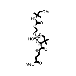 COC(=O)CCNC(=O)[C@@H]1O[PH](O)(OCOC(=O)NC(C)(C)COC(C)=O)OCC1(C)C